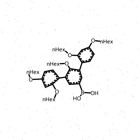 CCCCCCOc1ccc(-c2cc(B(O)O)cc(-c3ccc(OCCCCCC)cc3OCCCCCC)c2OCCCCCC)c(OCCCCCC)c1